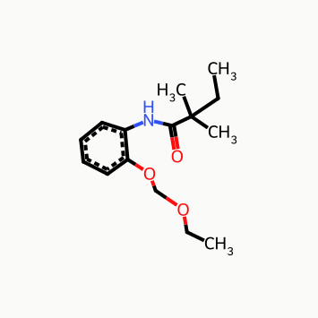 CCOCOc1ccccc1NC(=O)C(C)(C)CC